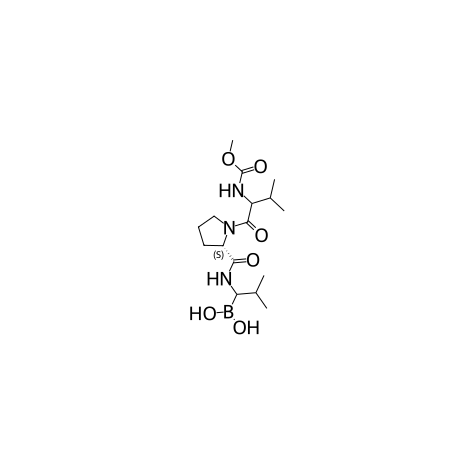 COC(=O)NC(C(=O)N1CCC[C@H]1C(=O)NC(B(O)O)C(C)C)C(C)C